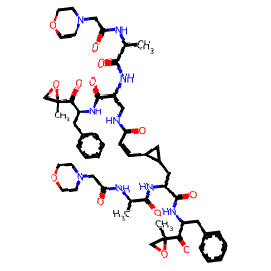 CC(NC(=O)CN1CCOCC1)C(=O)NC(CNC(=O)/C=C\C1CC1CC(NC(=O)C(C)NC(=O)CN1CCOCC1)C(=O)NC(Cc1ccccc1)C(=O)C1(C)CO1)C(=O)NC(Cc1ccccc1)C(=O)C1(C)CO1